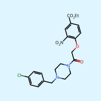 CCOC(=O)c1ccc(OCC(=O)N2CCN(Cc3ccc(Cl)cc3)CC2)c([N+](=O)[O-])c1